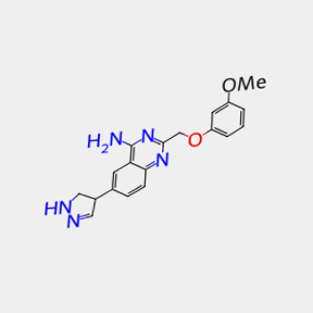 COc1cccc(OCc2nc(N)c3cc(C4C=NNC4)ccc3n2)c1